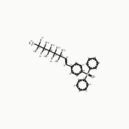 O=P(c1ccccc1)(c1ccccc1)c1ccc(C=CC(F)(F)C(F)(F)C(F)(F)C(F)(F)C(F)(F)C(F)(F)F)cc1